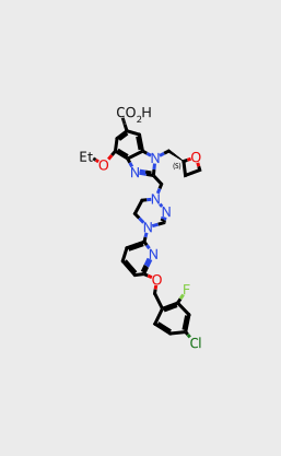 CCOc1cc(C(=O)O)cc2c1nc(CN1CCN(c3cccc(OCc4ccc(Cl)cc4F)n3)C=N1)n2C[C@@H]1CCO1